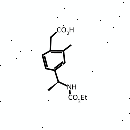 CCOC(=O)N[C@@H](C)c1ccc(CC(=O)O)c(C)c1